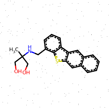 CC(CO)(CO)NCc1cccc2c1sc1cc3ccccc3cc12